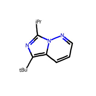 CC(C)c1nc(C(C)(C)C)c2cccnn12